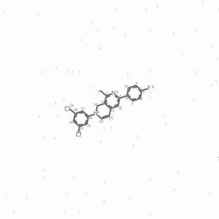 Cc1nc(-c2ccc(F)cc2)cc2c1CN(c1cc(Cl)cc(Cl)c1)C=C2